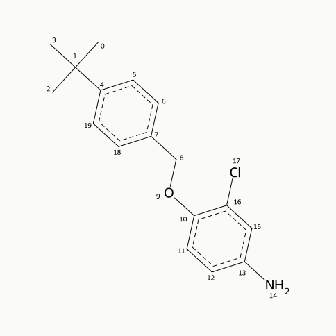 CC(C)(C)c1ccc(COc2ccc(N)cc2Cl)cc1